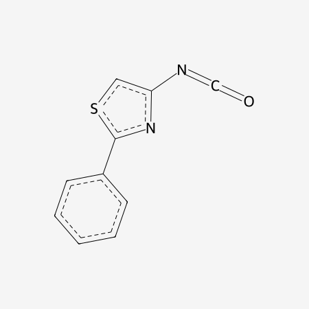 O=C=Nc1csc(-c2ccccc2)n1